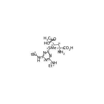 CCNc1nc(NC(C)(C)C)nc(SC)n1.CP(=O)(O)CCC(N)C(=O)O